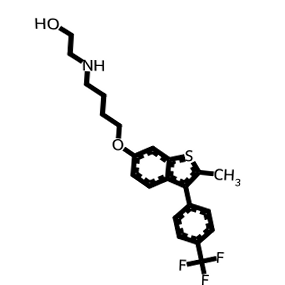 Cc1sc2cc(OCCCCNCCO)ccc2c1-c1ccc(C(F)(F)F)cc1